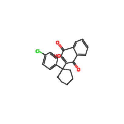 O=C1C(O)=C(C2(c3ccc(Cl)cc3)CCCCC2)C(=O)c2ccccc21